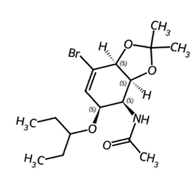 CCC(CC)O[C@H]1C=C(Br)[C@H]2OC(C)(C)O[C@H]2[C@H]1NC(C)=O